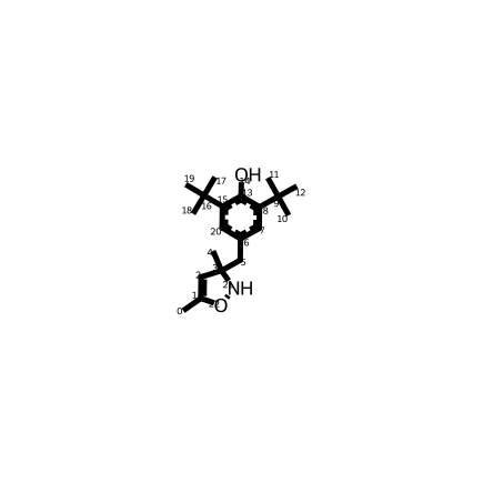 CC1=CC(C)(Cc2cc(C(C)(C)C)c(O)c(C(C)(C)C)c2)NO1